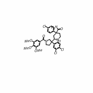 CCN1CCC(C(N)=O)(c2ccc(Cl)cc2)CC1C1(c2ccc(Cl)c(Cl)c2)CCN(C(=O)c2cc(OC)c(OC)c(OC)c2)C1